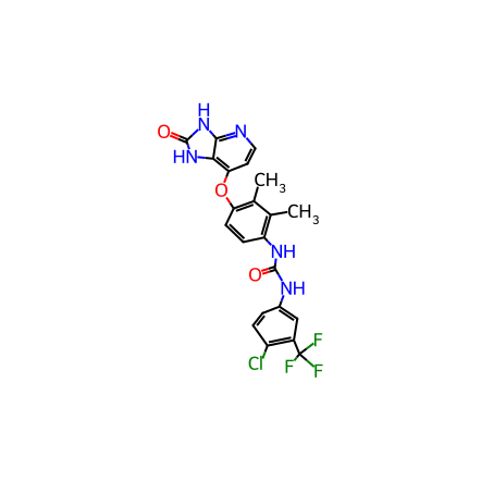 Cc1c(NC(=O)Nc2ccc(Cl)c(C(F)(F)F)c2)ccc(Oc2ccnc3[nH]c(=O)[nH]c23)c1C